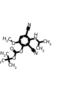 COc1cc(C#N)c(NC(C)C)c(C#N)c1OC(=O)OC(C)(C)C